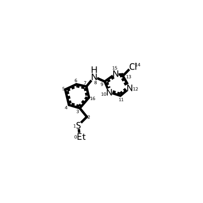 CCSCc1cccc(Nc2ncnc(Cl)n2)c1